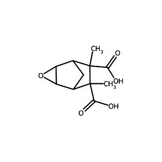 CC1(C(=O)O)C2CC(C3OC32)C1(C)C(=O)O